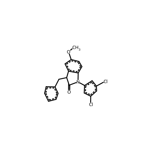 COc1ccc2c(c1)C(Cc1ccccc1)C(=O)N2c1cc(Cl)cc(Cl)c1